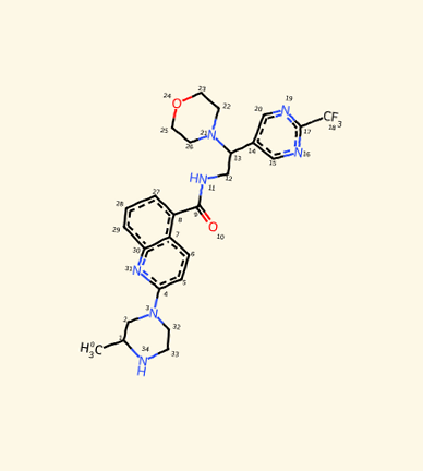 CC1CN(c2ccc3c(C(=O)NCC(c4cnc(C(F)(F)F)nc4)N4CCOCC4)cccc3n2)CCN1